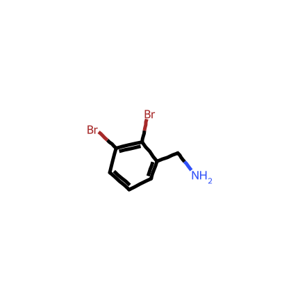 NCc1cccc(Br)c1Br